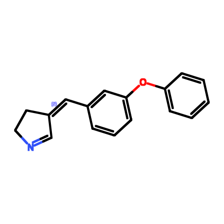 C1=NCC/C1=C/c1cccc(Oc2ccccc2)c1